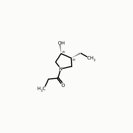 CCC(=O)N1C[C@@H](CC)[C@@H](O)C1